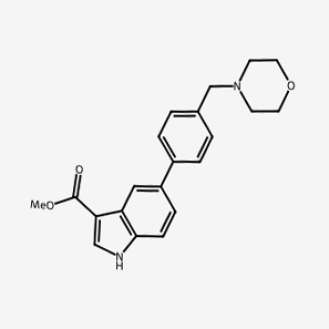 COC(=O)c1c[nH]c2ccc(-c3ccc(CN4CCOCC4)cc3)cc12